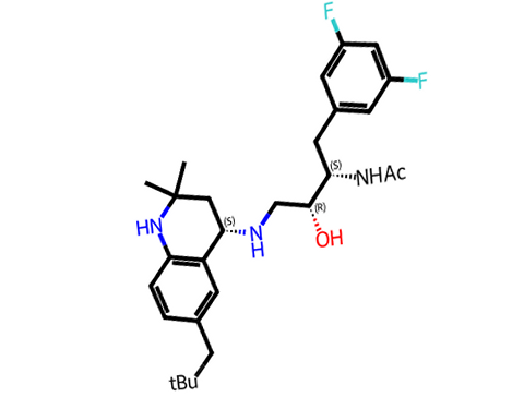 CC(=O)N[C@@H](Cc1cc(F)cc(F)c1)[C@H](O)CN[C@H]1CC(C)(C)Nc2ccc(CC(C)(C)C)cc21